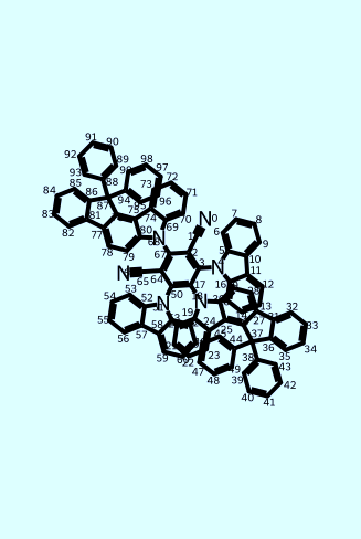 N#Cc1c(-n2c3ccccc3c3ccccc32)c(-n2c3ccccc3c3c4c(ccc32)-c2ccccc2C4(c2ccccc2)c2ccccc2)c(-n2c3ccccc3c3ccccc32)c(C#N)c1-n1c2ccccc2c2c3c(ccc21)-c1ccccc1C3(c1ccccc1)c1ccccc1